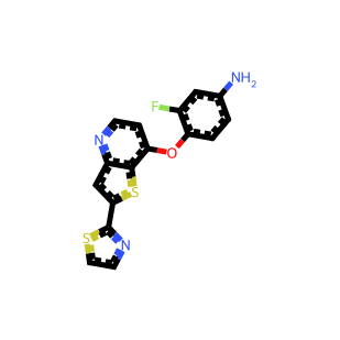 Nc1ccc(Oc2ccnc3cc(-c4nccs4)sc23)c(F)c1